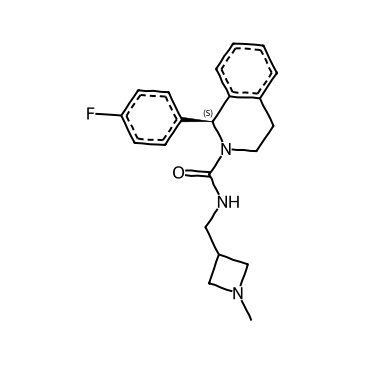 CN1CC(CNC(=O)N2CCc3ccccc3[C@@H]2c2ccc(F)cc2)C1